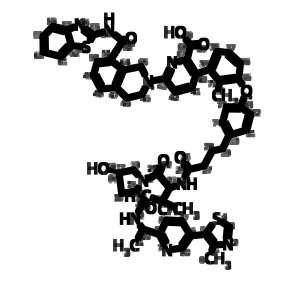 Cc1ncsc1-c1ccc(C(C)NC(=O)[C@@H]2C[C@@H](O)CN2C(=O)C(NC(=O)CCCc2ccc(Oc3cccc(-c4ccc(N5CCc6cccc(C(=O)Nc7nc8ccccc8s7)c6C5)nc4C(=O)O)c3C)cc2)C(C)(C)C)nc1